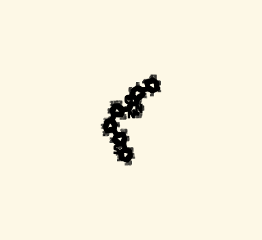 c1ccc(-c2ccc3oc4c(-c5cccc(-c6cccc(-c7ccc8c(c7)sc7ccccc78)c6)c5)ncnc4c3c2)cc1